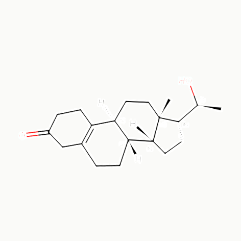 C[C@H](O)[C@@H]1CC[C@@H]2[C@@H]3CCC4=C(CCC(=O)C4)[C@H]3CC[C@@]21C